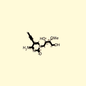 CC#Cc1cn(C[C@H](O)[C@@H](CO)OC)c(=O)nc1N